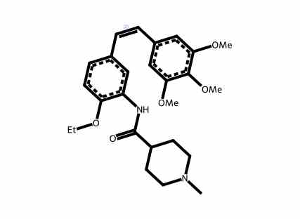 CCOc1ccc(/C=C\c2cc(OC)c(OC)c(OC)c2)cc1NC(=O)C1CCN(C)CC1